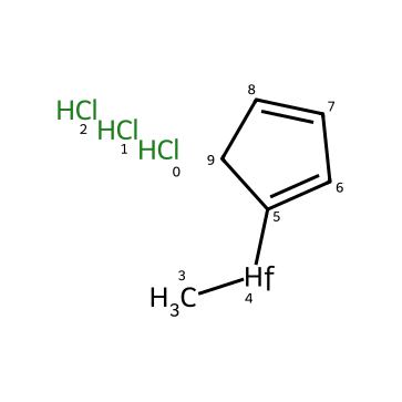 Cl.Cl.Cl.[CH3][Hf][C]1=CC=CC1